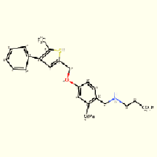 COc1cc(OCc2cc(-c3ccccc3)c(C(F)(F)F)s2)ccc1CNCCC(=O)O